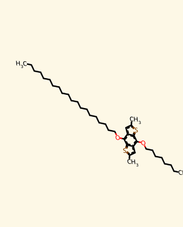 CCCCCCCCCCCCCCCCCCCCOc1c2cc(C)sc2c(OCCCCCCCC)c2cc(C)sc12